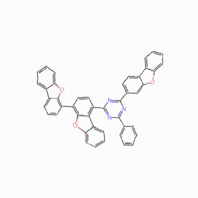 c1ccc(-c2nc(-c3ccc4c(c3)oc3ccccc34)nc(-c3ccc(-c4cccc5c4oc4ccccc45)c4oc5ccccc5c34)n2)cc1